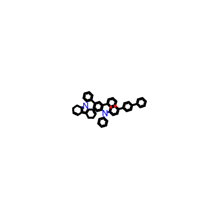 C1=Cc2c(c3c(n2-c2ccccc2-c2ccc(N(c4ccccc4)c4ccc(-c5ccc(-c6ccccc6)cc5)cc4)c(-c4ccccc4)c2)CCC=C3)CC1